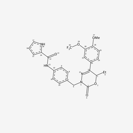 CCC1OC(=O)N(Cc2ccc(NC(=O)c3ccc[nH]3)cc2)N=C1c1ccc(OC)c(OC(F)(F)F)c1